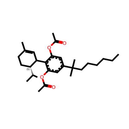 CCCCCCC(C)(C)c1cc(OC(C)=O)c(C2C=C(C)CC[C@H]2C(C)C)c(OC(C)=O)c1